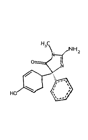 CN1C(=O)[C@](c2ccccc2)(C2C=CC(O)=CC2)N=C1N